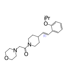 CC(C)Oc1ccccc1/C=C/C1CCN(C(=O)CN2CCOCC2)CC1